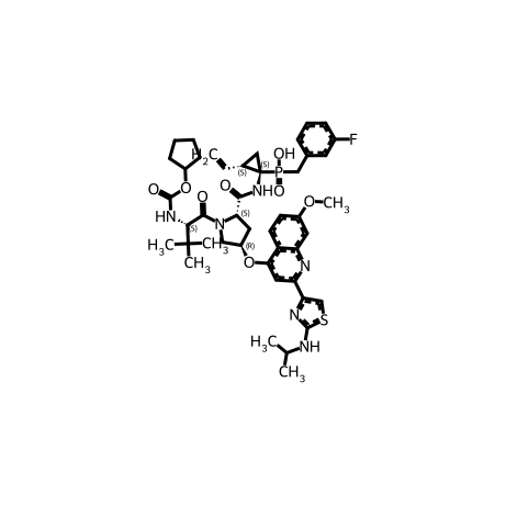 C=C[C@@H]1C[C@]1(NC(=O)[C@@H]1C[C@@H](Oc2cc(-c3csc(NC(C)C)n3)nc3cc(OC)ccc23)CN1C(=O)[C@@H](NC(=O)OC1CCCC1)C(C)(C)C)P(=O)(O)Cc1cccc(F)c1